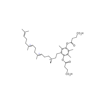 CC(C)=CCC/C(C)=C/CC/C(C)=C/CC[C@H](C)CCc1c(C)c(OC(=O)CCC(=O)O)c(C)c(C)c1OC(=O)CCC(=O)O